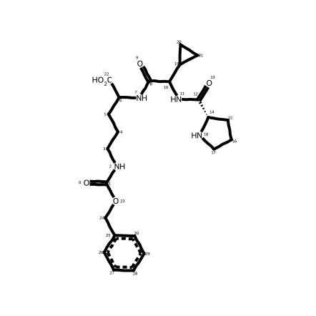 O=C(NCCCC(NC(=O)C(NC(=O)[C@@H]1CCCN1)C1CC1)C(=O)O)OCc1ccccc1